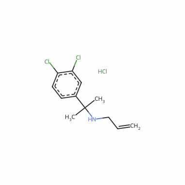 C=CCNC(C)(C)c1ccc(Cl)c(Cl)c1.Cl